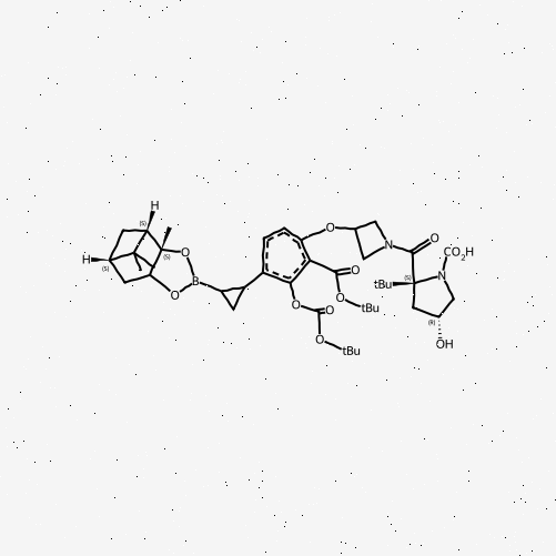 CC(C)(C)OC(=O)Oc1c(C2CC2B2OC3C[C@@H]4C[C@@H](C4(C)C)[C@]3(C)O2)ccc(OC2CN(C(=O)[C@@]3(C(C)(C)C)C[C@@H](O)CN3C(=O)O)C2)c1C(=O)OC(C)(C)C